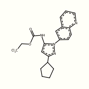 O=C(Nc1cc(C2CCCC2)nn1-c1ccc2ncccc2c1)OCC(Cl)(Cl)Cl